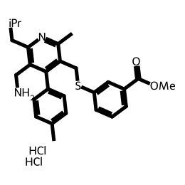 COC(=O)c1cccc(SCc2c(C)nc(CC(C)C)c(CN)c2-c2ccc(C)cc2)c1.Cl.Cl